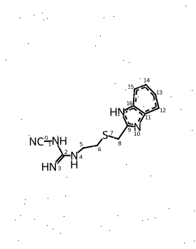 N#CNC(=N)NCCSCc1nc2ccccc2[nH]1